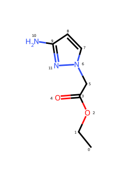 CCOC(=O)Cn1ccc(N)n1